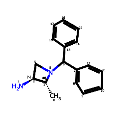 C[C@@H]1[C@@H](N)CN1C(c1ccccc1)c1ccccc1